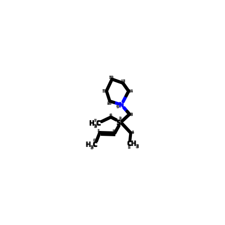 CC=C[Si](CC)(CC)CN1CCCCC1